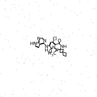 CN1n2c(c(Cl)cc(Nc3ncnc4[nH]ccc34)c2=O)C(=O)NC12CC1(CCC1)C2